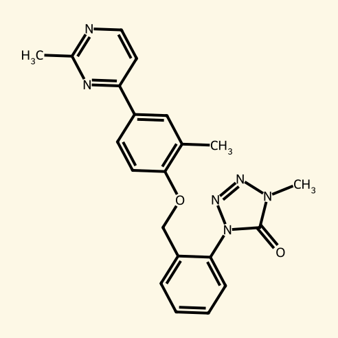 Cc1nccc(-c2ccc(OCc3ccccc3-n3nnn(C)c3=O)c(C)c2)n1